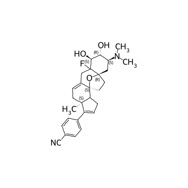 CN(C)[C@H]1C[C@@]23CC[C@@]4(O2)C(=CC[C@]2(C)C(c5ccc(C#N)cc5)=CCC24)CC3(F)[C@@H](O)[C@@H]1O